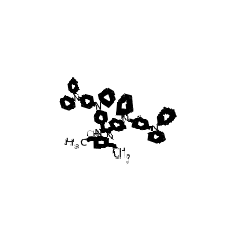 CCc1ccc(C(C)C)c2nc(-c3ccc(N(c4ccccc4)c4ccc(N(c5ccccc5)c5ccccc5)cc4)cc3)c(-c3ccc(N(c4ccccc4)c4ccc(N(c5ccccc5)c5ccccc5)cc4)cc3)nc12